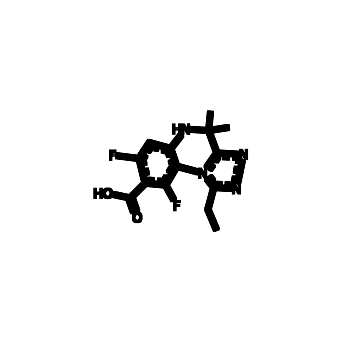 CCc1nnc2n1-c1c(cc(F)c(C(=O)O)c1F)NC2(C)C